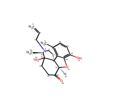 C=CCN1CC[C@]23c4c(C)ccc(O)c4O[C@H]2C(=O)CCC3(O)[C@H]1C